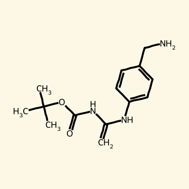 C=C(NC(=O)OC(C)(C)C)Nc1ccc(CN)cc1